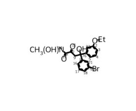 CCOc1cccc(C(O)(CC(=O)C(=O)N(C)O)c2cccc(Br)c2)c1